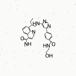 CCC(CNc1cc(-c2ccc(C(=O)NCCO)cc2)ncn1)c1cccc2c(C(=O)NC)ccnc12